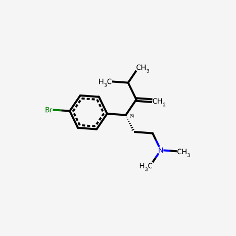 C=C(C(C)C)[C@H](CCN(C)C)c1ccc(Br)cc1